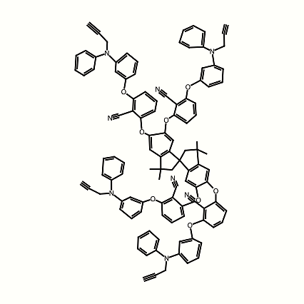 C#CCN(c1ccccc1)c1cccc(Oc2cccc(Oc3cc4c(cc3Oc3cccc(Oc5cccc(N(CC#C)c6ccccc6)c5)c3C#N)C3(CC4(C)C)CC(C)(C)c4cc(Oc5cccc(Oc6cccc(N(CC#C)c7ccccc7)c6)c5C#N)c(Oc5cccc(Oc6cccc(N(CC#C)c7ccccc7)c6)c5C#N)cc43)c2C#N)c1